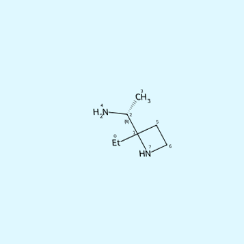 CCC1([C@@H](C)N)CCN1